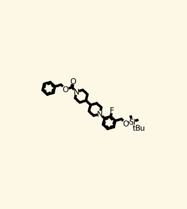 CC(C)(C)[Si](C)(C)OCc1cccc(N2CCC(C3CCN(C(=O)OCc4ccccc4)CC3)CC2)c1F